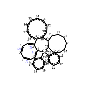 C1=C\C=C2/C(=C\C=C/1)[Si](c1ccccc1)(c1ccccc1)C1CCCCCCCC1c1ccccccccc12